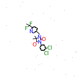 CC(F)(F)c1ccc(CN2C(=O)N(c3ccc(Cl)c(Cl)c3)C(=O)C2(C)C)cn1